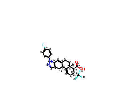 C[C@]12Cc3cnn(-c4ccc(F)cc4)c3C=C1CC[C@H]1C2=CC[C@@H](C(F)(F)F)[C@@H]1C(=O)O